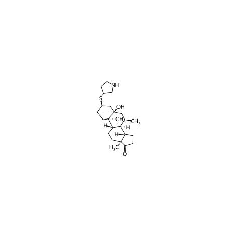 C[C@@H]1C[C@@]2(O)C[C@H](S[C@@H]3CCNC3)CC[C@]2(C)[C@H]2CC[C@]3(C)C(=O)CC[C@H]3[C@H]12